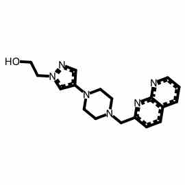 OCCn1cc(N2CCN(Cc3ccc4cccnc4n3)CC2)cn1